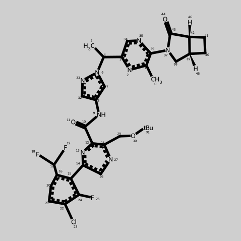 Cc1nc(C(C)n2cc(NC(=O)c3nc(-c4c(C(F)F)ccc(Cl)c4F)cnc3COC(C)(C)C)cn2)cnc1N1C[C@H]2CC[C@H]2C1=O